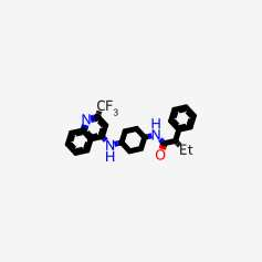 CCC(C(=O)NC1CCC(Nc2cc(C(F)(F)F)nc3ccccc23)CC1)c1ccccc1